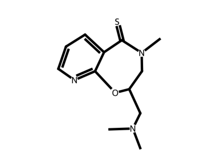 CN(C)CC1CN(C)C(=S)c2cccnc2O1